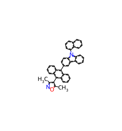 Cc1noc(C)c1-c1c2ccccc2c(-c2ccc3c(c2)c2ccccc2n3-c2cccc3ccccc23)c2ccccc12